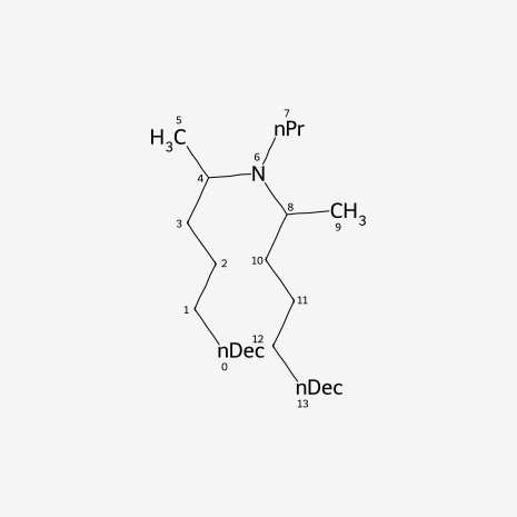 CCCCCCCCCCCCCC(C)N(CCC)C(C)CCCCCCCCCCCCC